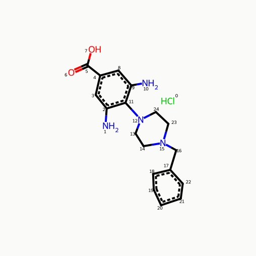 Cl.Nc1cc(C(=O)O)cc(N)c1N1CCN(Cc2ccccc2)CC1